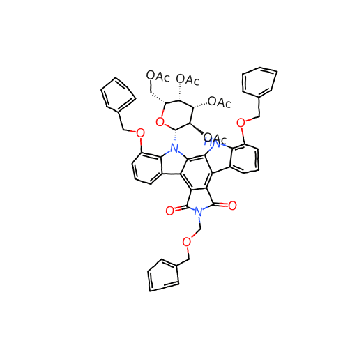 CC(=O)OC[C@H]1O[C@@H](n2c3c(OCc4ccccc4)cccc3c3c4c(c5c6cccc(OCc7ccccc7)c6[nH]c5c32)C(=O)N(COCc2ccccc2)C4=O)[C@H](OC(C)=O)[C@@H](OC(C)=O)[C@H]1OC(C)=O